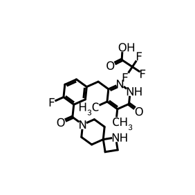 Cc1c(Cc2ccc(F)c(C(=O)N3CCC4(CCN4)CC3)c2)n[nH]c(=O)c1C.O=C(O)C(F)(F)F